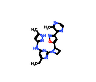 CCc1cc(Nc2cc(C)[nH]n2)nc(N2CCC2c2cc(-c3nccnc3C)no2)n1